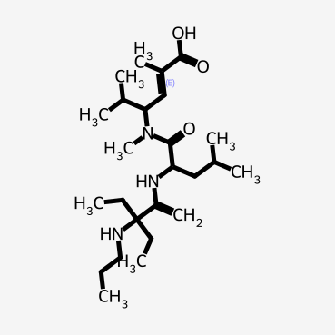 C=C(NC(CC(C)C)C(=O)N(C)C(/C=C(\C)C(=O)O)C(C)C)C(CC)(CC)NCCC